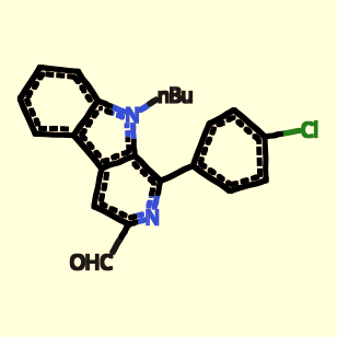 CCCCn1c2ccccc2c2cc(C=O)nc(-c3ccc(Cl)cc3)c21